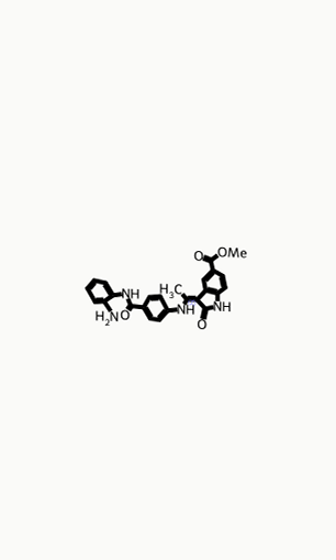 COC(=O)c1ccc2c(c1)/C(=C(\C)Nc1ccc(C(=O)Nc3ccccc3N)cc1)C(=O)N2